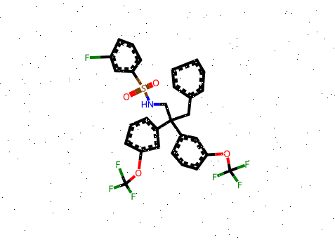 O=S(=O)(NCC(Cc1ccccc1)(c1cccc(OC(F)(F)F)c1)c1cccc(OC(F)(F)F)c1)c1cccc(F)c1